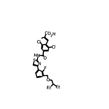 CCC(CC)COCc1cccc(-c2csc(NC(=O)c3cc(Cl)c(C=C(C)C(=O)O)c(Cl)c3)n2)c1F